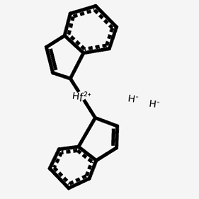 C1=C[CH]([Hf+2][CH]2C=Cc3ccccc32)c2ccccc21.[H-].[H-]